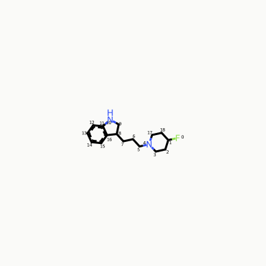 FC1CCN(CCCC2CNc3ccccc32)CC1